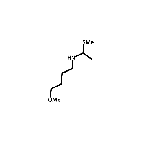 COCCCCNC(C)SC